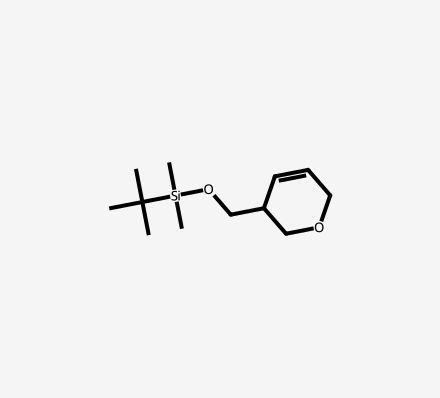 CC(C)(C)[Si](C)(C)OCC1C=CCOC1